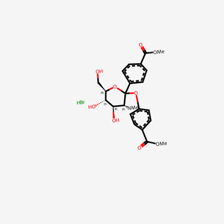 Br.CN[C@@H]1[C@@H](O)[C@H](O)[C@@H](CO)OC1(Oc1ccc(C(=O)OC)cc1)c1ccc(C(=O)OC)cc1